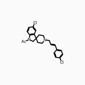 CC(=O)N1CC2(CCN(CC=Cc3ccc(Cl)cc3)CC2)c2cc(Cl)ccc21